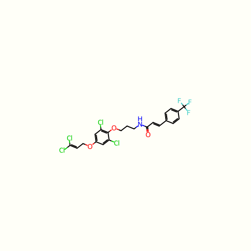 O=C(C=Cc1ccc(C(F)(F)F)cc1)NCCCOc1c(Cl)cc(OCC=C(Cl)Cl)cc1Cl